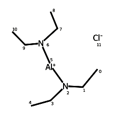 CC[N](CC)[Al+][N](CC)CC.[Cl-]